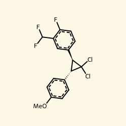 COc1ccc([C@@H]2[C@@H](c3ccc(F)c(C(F)F)c3)C2(Cl)Cl)cc1